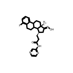 C[C@]12CCC3c4cccc(F)c4CCC3C1[C@H](CCC(=O)Nc1cnccn1)C/C2=N\O